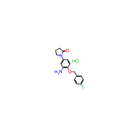 Cl.Nc1cc(N2CCCC2=O)ccc1OCc1ccc(F)cc1